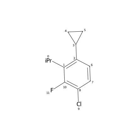 CC(C)c1c(C2CC2)ccc(Cl)c1F